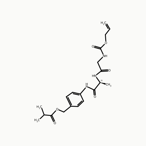 C=CCOC(=O)NCC(=O)N[C@@H](C)C(=O)Nc1ccc(COC(=O)C(C)C)cc1